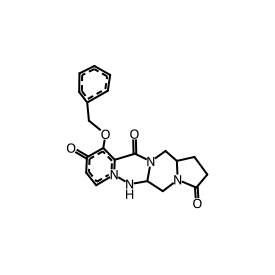 O=C1CCC2CN3C(=O)c4c(OCc5ccccc5)c(=O)ccn4NC3CN12